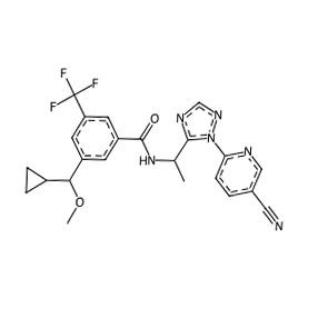 COC(c1cc(C(=O)NC(C)c2ncnn2-c2ccc(C#N)cn2)cc(C(F)(F)F)c1)C1CC1